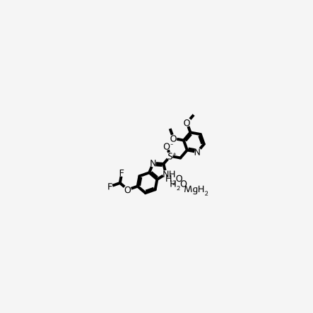 COc1ccnc(C[S+]([O-])c2nc3cc(OC(F)F)ccc3[nH]2)c1OC.O.O.[MgH2]